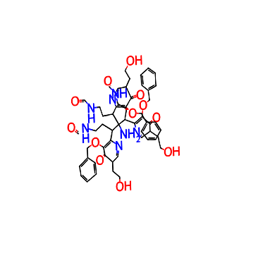 NC(C(CCNC=O)C1=C(OCc2ccccc2)C(=O)C(CCO)C=N1)(C(CCNC=O)C1=C(OCc2ccccc2)C(=O)C(CCO)C=N1)C(CCNC=O)C1=C(OCc2ccccc2)C(=O)C(CCO)C=N1